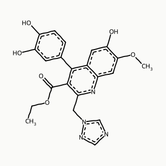 CCOC(=O)c1c(Cn2cncn2)nc2cc(OC)c(O)cc2c1-c1ccc(O)c(O)c1